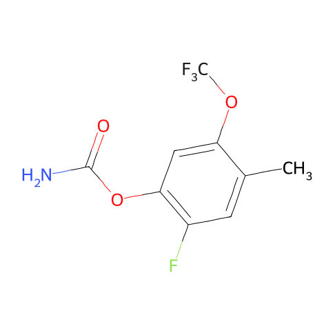 Cc1cc(F)c(OC(N)=O)cc1OC(F)(F)F